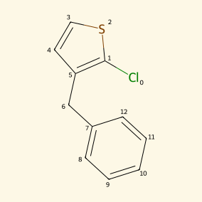 Clc1sccc1Cc1ccccc1